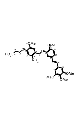 COc1cc(COc2cc(/C=C/c3cc(OC)c(OC)c(OC)c3)ccc2OC)c([N+](=O)[O-])cc1OCCC(=O)O